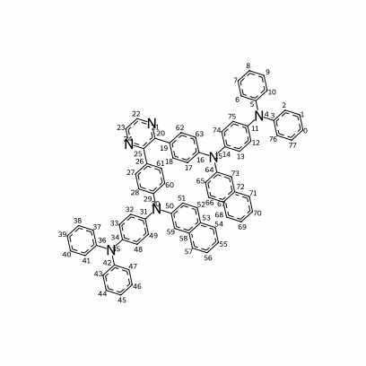 c1ccc(N(c2ccccc2)c2ccc(N(c3ccc(-c4nccnc4-c4ccc(N(c5ccc(N(c6ccccc6)c6ccccc6)cc5)c5ccc6ccccc6c5)cc4)cc3)c3ccc4ccccc4c3)cc2)cc1